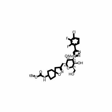 CO[C@@H]1[C@@H](n2cc(-c3ccc(Cl)c(F)c3F)nn2)[C@@H](O)[C@@H](CO)O[C@@H]1CC1=NOC2(CCC(NC(=O)OC(C)(C)C)CC2)C1